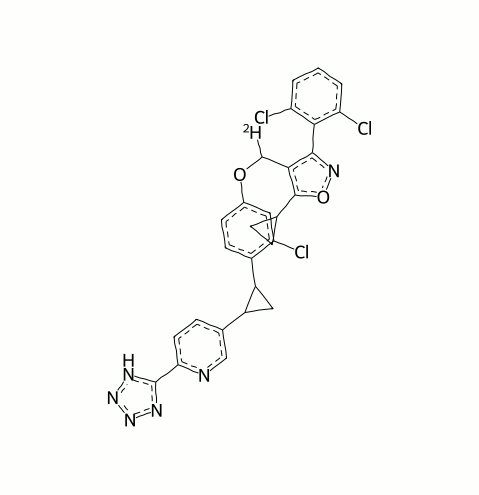 [2H]C(Oc1ccc(C2CC2c2ccc(-c3nnn[nH]3)nc2)c(Cl)c1)c1c(-c2c(Cl)cccc2Cl)noc1C1CC1